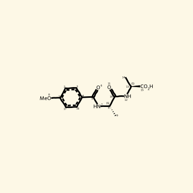 COc1ccc(C(=O)N[C@@H](C)C(=O)N[C@@H](C)C(=O)O)cc1